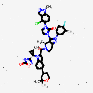 Cc1cc(-n2nc3c(c2-n2ccn(-c4ccc5c(cnn5C)c4Cl)c2=O)[C@H](C)N(C(=O)c2cc4cc(C5CCOC(C)(C)C5)ccc4n2[C@@]2(c4noc(=O)[nH]4)C[C@@H]2C)CC3)ccc1F